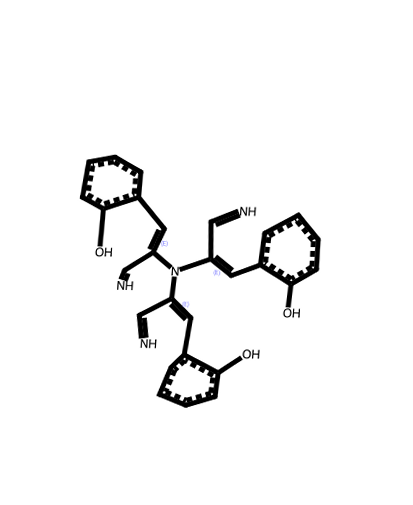 N=C/C(=C\c1ccccc1O)N(/C(C=N)=C/c1ccccc1O)/C(C=N)=C/c1ccccc1O